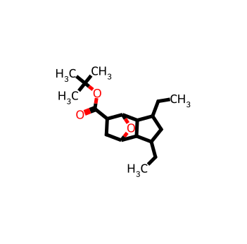 CCC1CC(CC)C2C3OC(CC3C(=O)OC(C)(C)C)C12